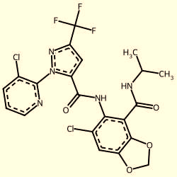 CC(C)NC(=O)c1c(NC(=O)c2cc(C(F)(F)F)nn2-c2ncccc2Cl)c(Cl)cc2c1OCO2